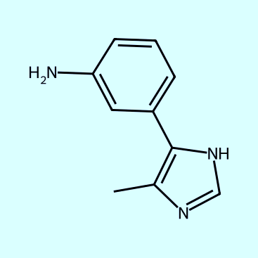 Cc1nc[nH]c1-c1cccc(N)c1